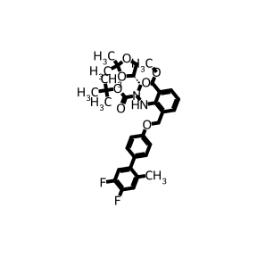 COC(=O)c1cccc(COc2ccc(-c3cc(F)c(F)cc3C)cc2)c1NN(C[C@H]1COC(C)(C)O1)C(=O)OC(C)(C)C